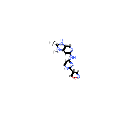 CC(C)N1c2cc(Nc3ccnc(-c4cnoc4)n3)ncc2NC1C